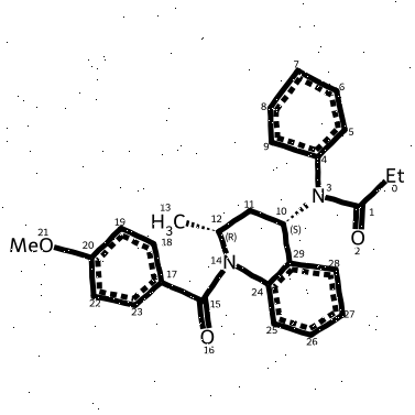 CCC(=O)N(c1ccccc1)[C@H]1C[C@@H](C)N(C(=O)c2ccc(OC)cc2)c2ccccc21